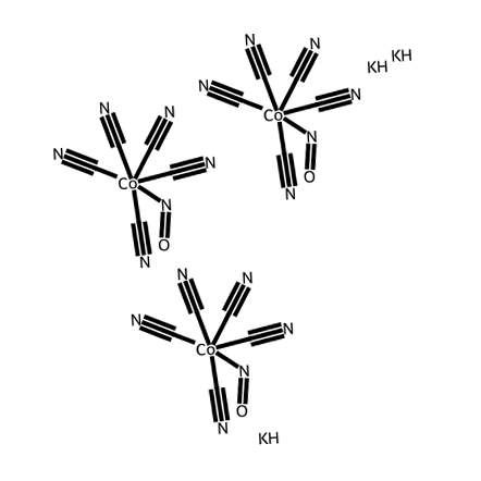 N#[C][Co]([C]#N)([C]#N)([C]#N)([C]#N)[N]=O.N#[C][Co]([C]#N)([C]#N)([C]#N)([C]#N)[N]=O.N#[C][Co]([C]#N)([C]#N)([C]#N)([C]#N)[N]=O.[KH].[KH].[KH]